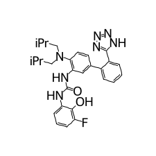 CC(C)CN(CC(C)C)c1ccc(-c2ccccc2-c2nnn[nH]2)cc1NC(=O)Nc1cccc(F)c1O